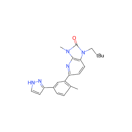 Cc1ccc(-c2cc[nH]n2)cc1-c1ccc2c(n1)n(C)c(=O)n2CC(C)(C)C